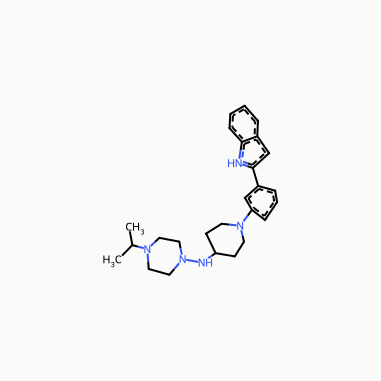 CC(C)N1CCN(NC2CCN(c3cccc(-c4cc5ccccc5[nH]4)c3)CC2)CC1